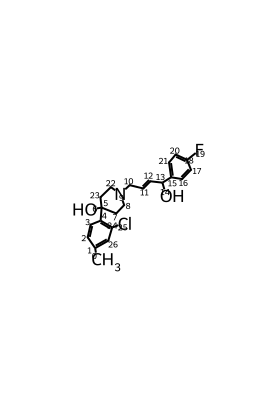 Cc1ccc(C2(O)CCN(CC=CC(O)c3ccc(F)cc3)CC2)c(Cl)c1